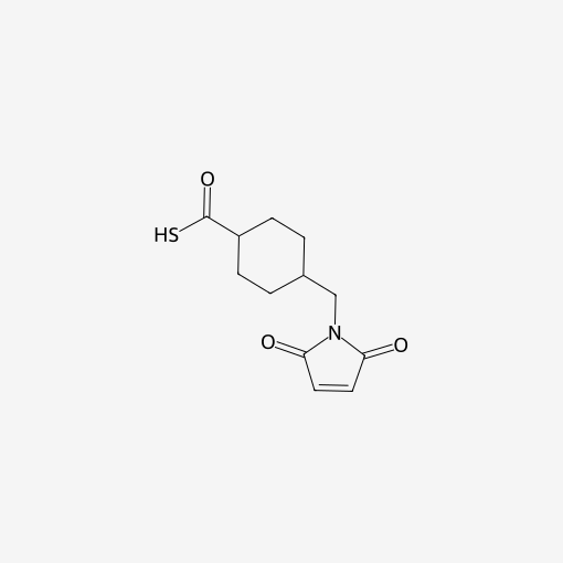 O=C(S)C1CCC(CN2C(=O)C=CC2=O)CC1